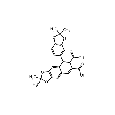 CC1(C)Oc2ccc(C3c4cc5c(cc4C=C(C(=O)O)C3C(=O)O)OC(C)(C)O5)cc2O1